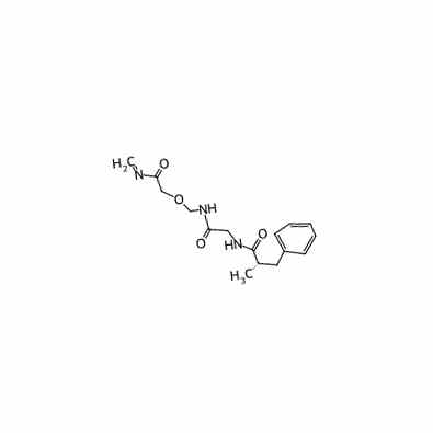 C=NC(=O)COCNC(=O)CNC(=O)[C@@H](C)Cc1ccccc1